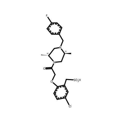 C[C@@H]1CN(Cc2ccc(F)cc2)[C@@H](C)CN1C(=O)COc1ccc(Cl)cc1CS(=O)(=O)O